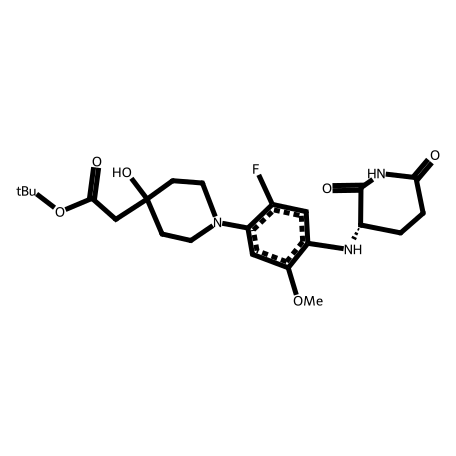 COc1cc(N2CCC(O)(CC(=O)OC(C)(C)C)CC2)c(F)cc1N[C@H]1CCC(=O)NC1=O